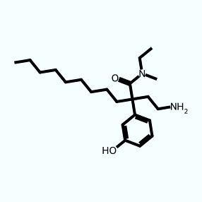 CCCCCCCCCC(CCN)(C(=O)N(C)CC)c1cccc(O)c1